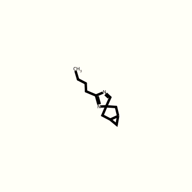 CCCCC1=NC2(C=N1)CC1CC1C2